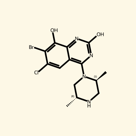 C[C@@H]1CN(c2nc(O)nc3c(O)c(Br)c(Cl)cc23)[C@@H](C)CN1